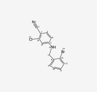 N#Cc1ccc(NCc2ccccc2Br)cc1Cl